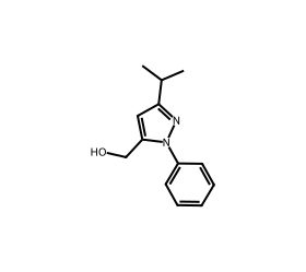 CC(C)c1cc(CO)n(-c2ccccc2)n1